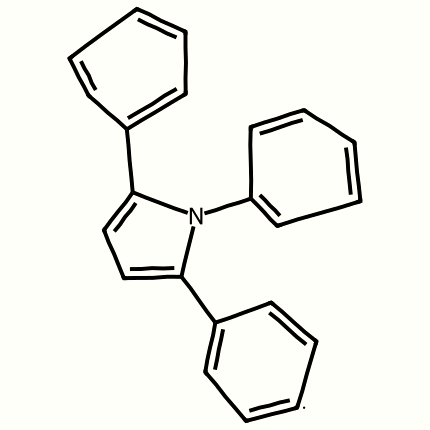 [c]1ccc(-c2ccc(-c3ccccc3)n2-c2ccccc2)cc1